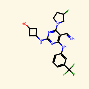 N=Cc1c(Nc2cccc(C(F)(F)F)c2)nc(NC2CC(O)C2)nc1N1CCC(F)C1